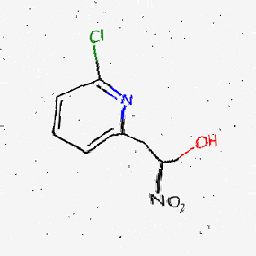 O=[N+]([O-])C(O)c1cccc(Cl)n1